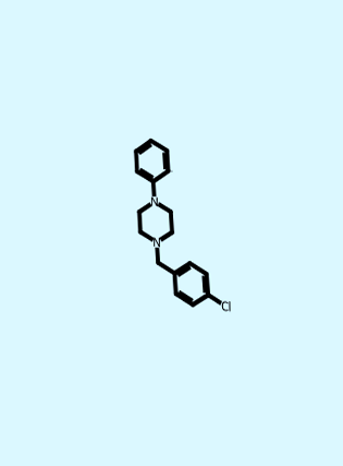 Clc1ccc(CN2CCN(c3[c]cccc3)CC2)cc1